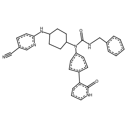 N#Cc1ccc(NC2CCC(N(C(=O)NCc3ccccc3)c3ccc(-c4ccc[nH]c4=O)cc3)CC2)nc1